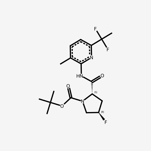 Cc1ccc(C(C)(F)F)nc1NC(=O)[C@@H]1C[C@@H](F)CN1C(=O)OC(C)(C)C